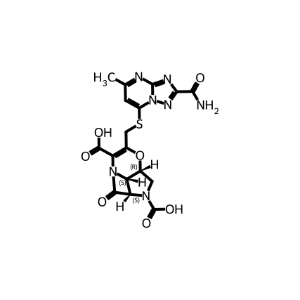 Cc1cc(SCC2=C(C(=O)O)N3C(=O)[C@@H]4[C@H]3[C@@H](CN4C(=O)O)O2)n2nc(C(N)=O)nc2n1